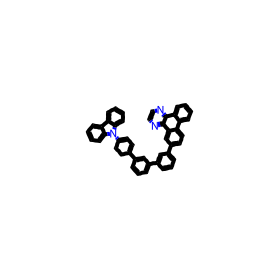 C1=C(c2cccc(-c3cccc(-c4ccc5c6ccccc6c6nccnc6c5c4)c3)c2)CCC(n2c3ccccc3c3ccccc32)=C1